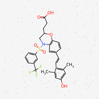 Cc1cc(O)cc(C)c1C=Cc1ccc2c(c1)N(S(=O)(=O)c1cccc(C(F)(F)F)c1)CC(CCC(=O)O)O2